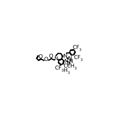 Cc1cc2c(cc1C(F)(F)F)N(CC(=O)COCc1ccco1)CCC[C@@H]2N(Cc1cc(C(F)(F)F)cc(C(F)(F)F)c1)c1nnn(C)n1